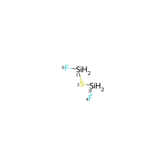 F[SiH2]S[SiH2]F